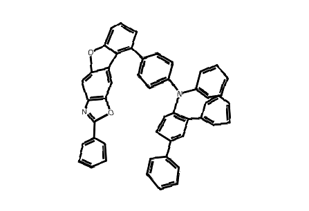 c1ccc(-c2ccc(N(c3ccccc3)c3ccc(-c4cccc5oc6cc7nc(-c8ccccc8)oc7cc6c45)cc3)c(-c3ccccc3)c2)cc1